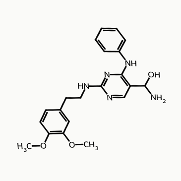 COc1ccc(CCNc2ncc(C(N)O)c(Nc3ccccc3)n2)cc1OC